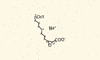 CCCCCCCCCCCCCCCC1OC1C(=O)[O-].[Na+]